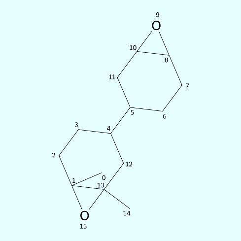 CC12CCC(C3CCC4OC4C3)CC1(C)O2